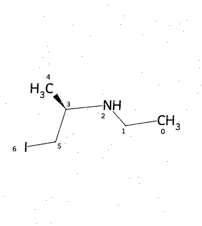 CCN[C@H](C)CI